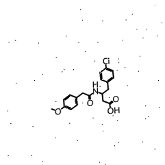 COc1ccc(CC(=O)NC(CC(=O)O)Cc2ccc(Cl)cc2)cc1